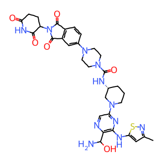 Cc1cc(Nc2nc(N3CCC[C@@H](NC(=O)N4CCN(c5ccc6c(c5)C(=O)N(C5CCC(=O)NC5=O)C6=O)CC4)C3)cnc2C(N)O)sn1